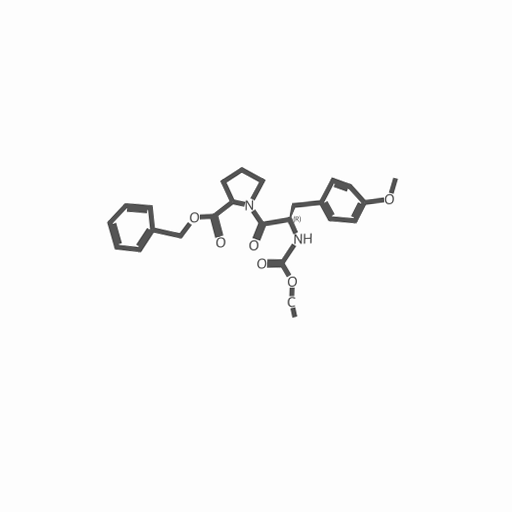 CCOC(=O)N[C@H](Cc1ccc(OC)cc1)C(=O)N1CCCC1C(=O)OCc1ccccc1